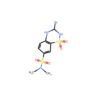 CCC1Nc2ccc(S(=O)(=O)N(C)C)cc2S(=O)(=O)N1